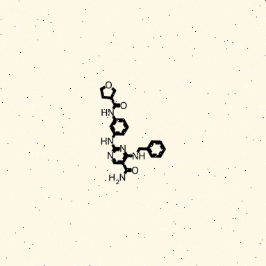 NC(=O)c1cnc(Nc2cccc(NC(=O)C3CCOC3)c2)nc1NCc1ccccc1